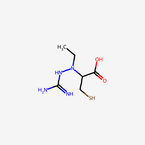 CCN(NC(=N)N)C(CS)C(=O)O